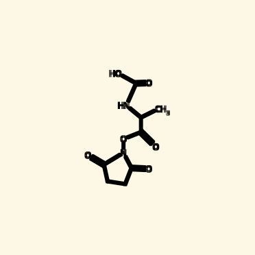 CC(NC(=O)O)C(=O)ON1C(=O)CCC1=O